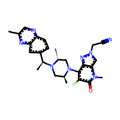 Cc1cnc2ccc([C@H](C)N3C[C@H](C)N(c4c(F)c(=O)n(C)c5cn(CC#N)nc45)C[C@H]3C)cc2n1